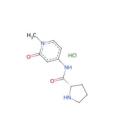 Cl.Cn1ccc(NC(=O)[C@@H]2CCCN2)cc1=O